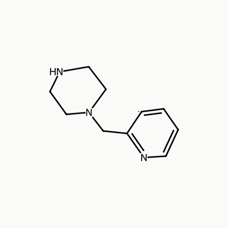 [c]1cccnc1CN1CCNCC1